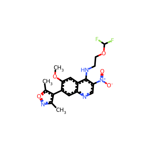 COc1cc2c(NCCOC(F)F)c([N+](=O)[O-])cnc2cc1-c1c(C)noc1C